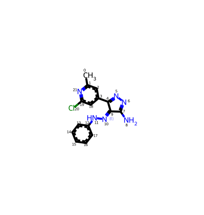 Cc1cc(C2=NN=C(N)/C2=N/Nc2ccccc2)cc(Cl)n1